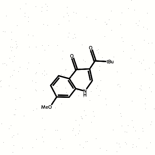 COc1ccc2c(=O)c(C(=O)C(C)(C)C)c[nH]c2c1